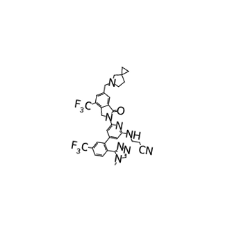 Cn1cnnc1-c1ccc(C(F)(F)F)cc1-c1cc(NCCC#N)nc(N2Cc3c(cc(CN4CCC5(CC5)C4)cc3C(F)(F)F)C2=O)c1